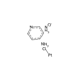 N.N.[Cl-].[Cl][Pt].c1ccncc1